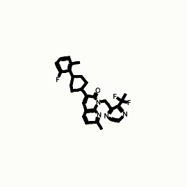 Cc1ccc2cc(C3CCC(c4c(C)cccc4F)CC3)c(=O)n(Cc3nccnc3C(C)(F)F)c2n1